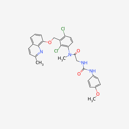 COc1ccc(NC(=O)NCC(=O)N(C)c2ccc(Cl)c(COc3cccc4ccc(C)nc34)c2Cl)cc1